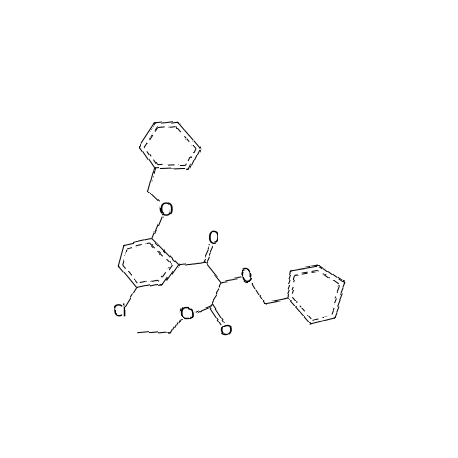 CCOC(=O)C(OCc1ccccc1)C(=O)c1cc(Cl)ccc1OCc1ccccc1